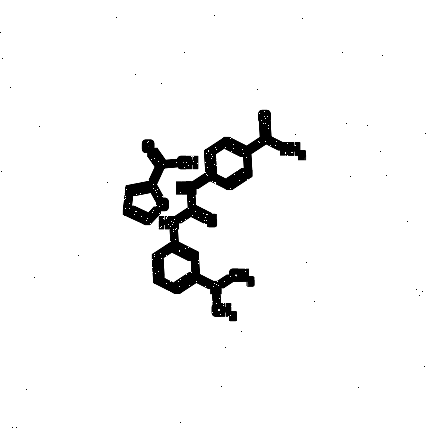 CN(C)c1cccc(NC(=S)Nc2ccc(C(N)=O)cc2)c1.O=C(O)c1ccco1